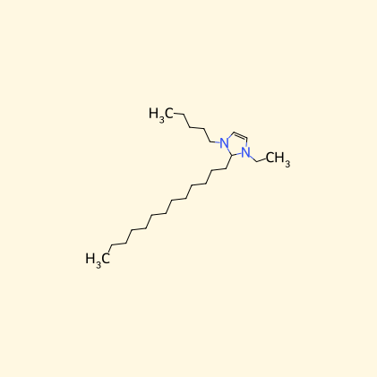 CCCCCCCCCCCCCC1N(CC)C=CN1CCCCC